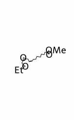 CCC1OC1CC1OC1C/C=C\CCCCCCCC(=O)OC